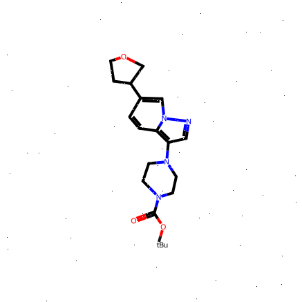 CC(C)(C)OC(=O)N1CCN(c2cnn3cc(C4CCOC4)ccc23)CC1